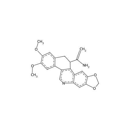 C=C(N)C1Cc2cc(OC)c(OC)cc2-c2cnc3cc4c(cc3c21)OCO4